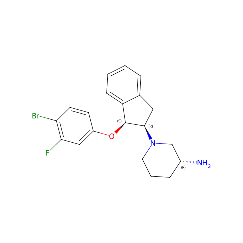 N[C@@H]1CCCN([C@@H]2Cc3ccccc3[C@@H]2Oc2ccc(Br)c(F)c2)C1